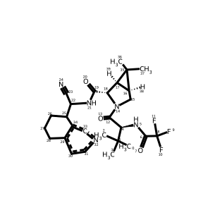 CC(C)(C)[C@H](NC(=O)C(F)(F)F)C(=O)N1C[C@H]2[C@@H]([C@H]1C(=O)NC(C#N)C1CCCc3ccncc31)C2(C)C